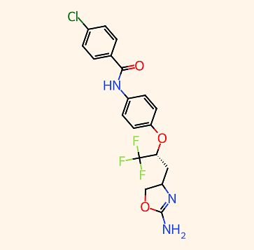 NC1=NC(C[C@@H](Oc2ccc(NC(=O)c3ccc(Cl)cc3)cc2)C(F)(F)F)CO1